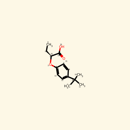 CC[C@H](Oc1ccc(C(C)(C)C)cc1)C(=O)O